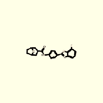 O=C(Nc1ccc(-c2nc3cccc(F)c3o2)cc1)C1CC2CCC(C1)O2